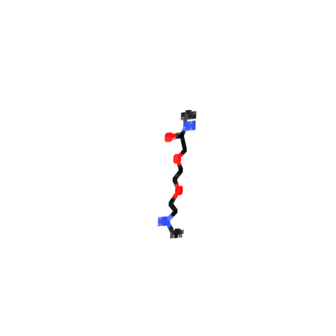 CCCCNC(=O)COCCOCCNCCC